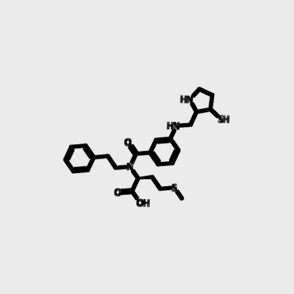 CSCC[C@@H](C(=O)O)N(CCc1ccccc1)C(=O)c1cccc(NCC2NCCC2S)c1